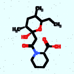 CCC1O[C@@](O)(CC(=O)N2CCCC[C@H]2C(=O)O)[C@H](C)CC1C